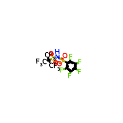 O=S(=O)(NS(=O)(=O)C(C(F)(F)F)(C(F)(F)F)C(F)(F)F)c1c(F)c(F)c(F)c(F)c1F